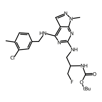 Cc1ccc(CNc2nc(NCC(CF)NC(=O)OC(C)(C)C)nc3c2cnn3C)cc1Cl